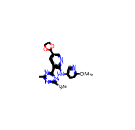 COc1ccc(Nc2ncc(C3OCCO3)cc2-c2nc(C)nc(SC)n2)cn1